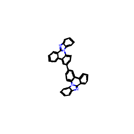 c1ccc2c(c1)nc1c3ccccc3c3cc(-c4ccc5c(c4)c4ccccc4c4nc6ccccc6n54)ccc3n21